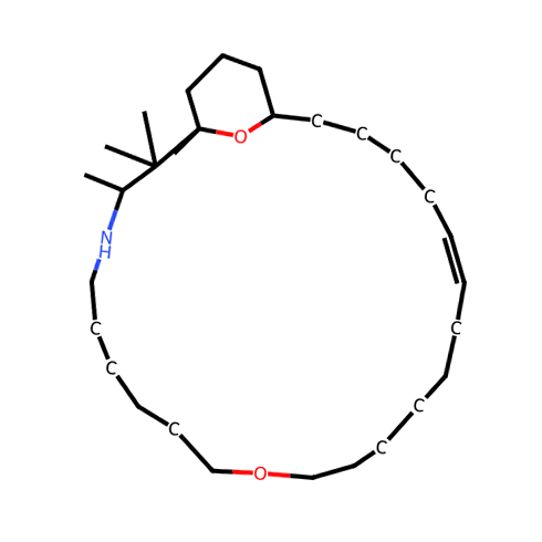 CC1NCCCCCCOCCCCCCC=CCCCCC2CCCC(C)(O2)C1(C)C